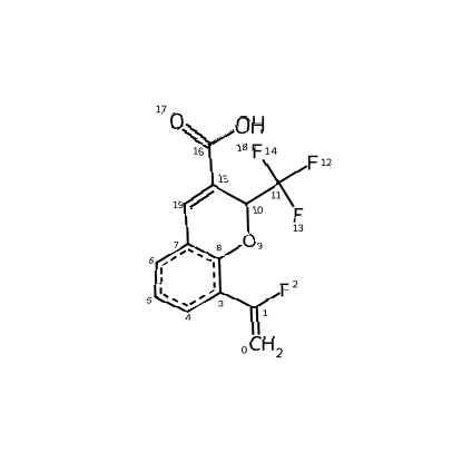 C=C(F)c1cccc2c1OC(C(F)(F)F)C(C(=O)O)=C2